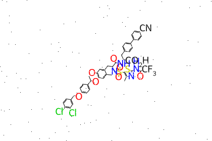 Cc1nc(NC(=O)C(F)(F)F)sc1S(=O)(=O)N1Cc2cc3c(cc2CC1C(=O)NC(Cc1ccc(-c2ccc(C#N)cc2)cc1)C(=O)O)OCC(c1ccc(OCc2ccc(Cl)c(Cl)c2)cc1)O3